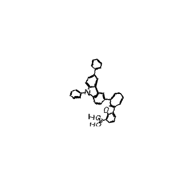 OB(O)c1cccc2c3c(oc12)C(c1ccc2c(c1)c1cc(-c4ccccc4)ccc1n2-c1ccccc1)=CCC=C3